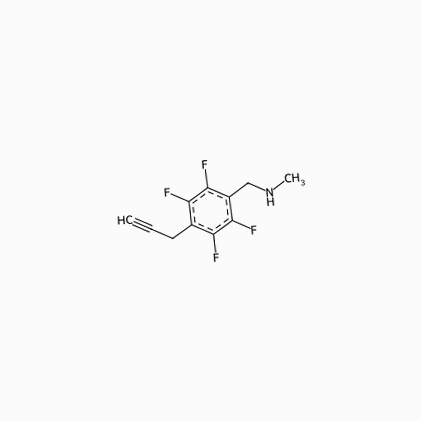 C#CCc1c(F)c(F)c(CNC)c(F)c1F